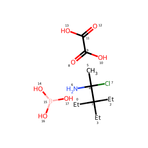 CCC(CC)(CC)C(C)(N)Cl.O=C(O)C(=O)O.OB(O)O